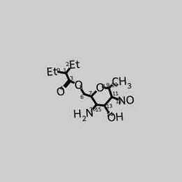 CCC(CC)C(=O)OCC1OC(C)C(N=O)C(O)C1N